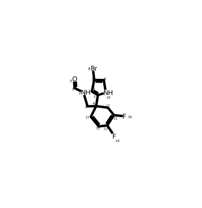 O=CNCC1(c2cc(Br)c[nH]2)C=CC(F)=C(F)C1